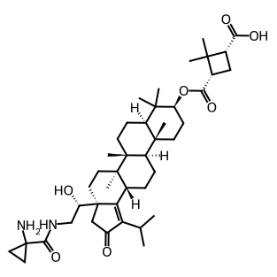 CC(C)C1=C2[C@H]3CC[C@@H]4[C@@]5(C)CC[C@H](OC(=O)[C@H]6C[C@@H](C(=O)O)C6(C)C)C(C)(C)[C@@H]5CC[C@@]4(C)[C@]3(C)CC[C@@]2([C@@H](O)CNC(=O)C2(N)CC2)CC1=O